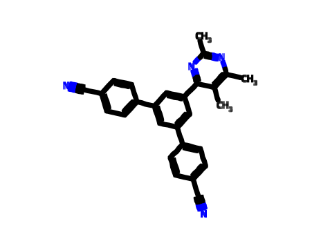 Cc1nc(C)c(C)c(-c2cc(-c3ccc(C#N)cc3)cc(-c3ccc(C#N)cc3)c2)n1